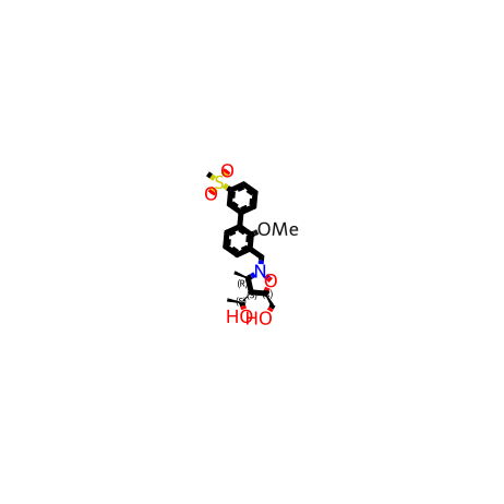 COc1c(CN2O[C@@H](CO)[C@H]([C@H](C)O)[C@H]2C)cccc1-c1cccc(S(C)(=O)=O)c1